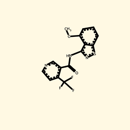 COc1cccc2snc(NC(=O)c3cnccc3C(F)(F)F)c12